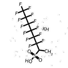 CC(C(F)(F)C(F)(F)C(F)(F)C(F)(F)C(F)(F)C(F)(F)F)S(=O)(=O)O.[KH]